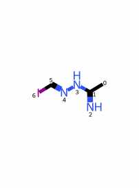 CC(=N)N/N=C/I